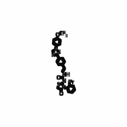 CC(C)c1ccccc1N1C(=O)CS/C1=N\C(=O)N/C=C/c1ccc(-c2ncn(-c3ccc(OC(F)(F)F)cc3)n2)cc1